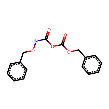 O=C(NOCc1ccccc1)OC(=O)OCc1ccccc1